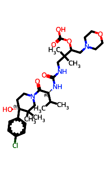 CC(C)[C@@H](NC(=O)NCC(C)(C)C(CN1CCOCC1)OC(=O)O)C(=O)N1CC[C@](O)(c2ccc(Cl)cc2)C(C)(C)C1